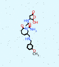 COc1cccc(CNCC2=CC[C]C(=O)[N@@+](CC(=O)NC3CC(=O)OC3O)(C(N)=O)C2)c1